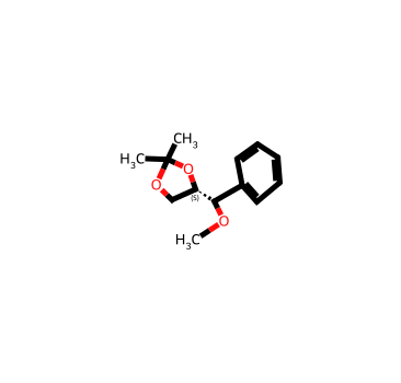 COC(c1ccccc1)[C@@H]1[CH]OC(C)(C)O1